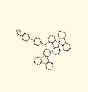 COc1ccc(-c2ccc(N(c3ccc4c5ccccc5c5ccccc5c4c3)c3cccc4c3-c3ccccc3C43c4ccccc4-c4ccccc43)cc2)cc1